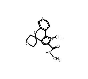 CNC(=O)c1cc2c(n1C)-c1ccncc1OC21CCOCC1